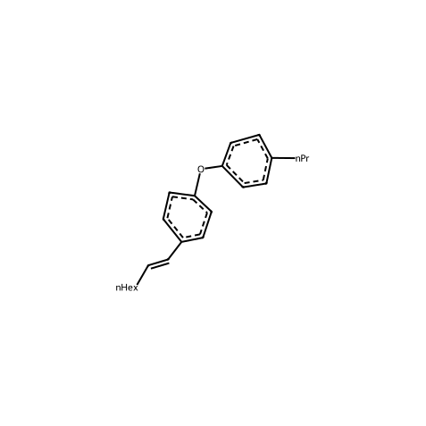 CCCCCC/C=C/c1ccc(Oc2ccc(CCC)cc2)cc1